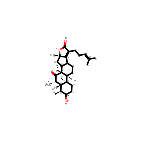 CC(=O)O[C@@H]1C(=O)[C@@]2(C)[C@@H](CCC3C4=C(CCC=C(C)C)C(=O)O[C@H]4C[C@@]32C)[C@@]2(C)CCC(O)[C@@H](C)[C@H]12